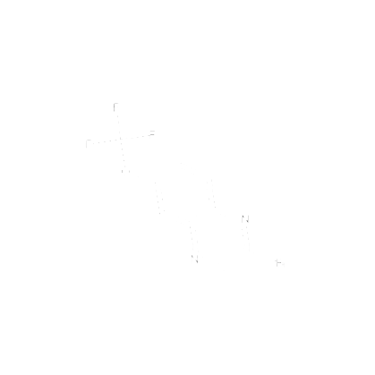 FC(F)(F)Oc1ccc2nc(Br)cnc2c1